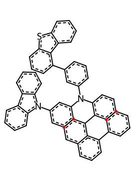 c1ccc(-c2cccc3cccc(-c4ccccc4N(c4cccc(-c5cccc6sc7ccccc7c56)c4)c4cccc(-n5c6ccccc6c6ccccc65)c4)c23)cc1